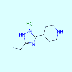 CCc1nc(C2CCNCC2)n[nH]1.Cl